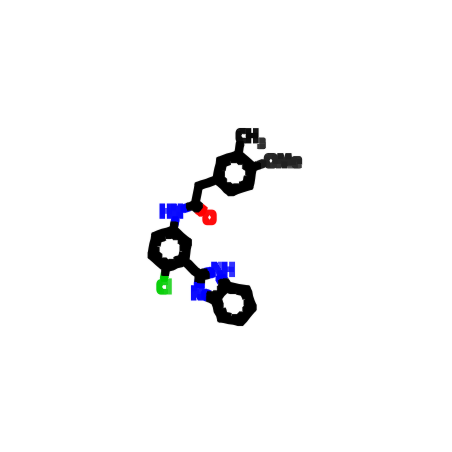 COc1ccc(CC(=O)Nc2ccc(Cl)c(-c3nc4ccccc4[nH]3)c2)cc1C